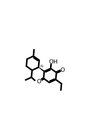 CCC1=CC(=O)C([C@@H]2C=C(C)CCC2C(C)C)=C(O)C1=O